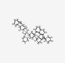 CC(c1ccccc1)C(Cc1ccc2c(c1)sc1ccccc12)c1ccc2c(c1)-c1cccc3ccc4c(c13)c1c-2cccc1n4-c1ccccc1